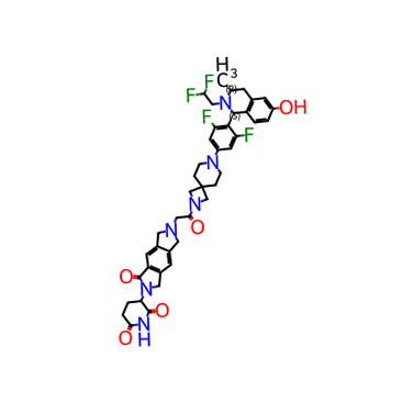 C[C@@H]1Cc2cc(O)ccc2[C@@H](c2c(F)cc(N3CCC4(CC3)CN(C(=O)CN3Cc5cc6c(cc5C3)C(=O)N(C3CCC(=O)NC3=O)C6)C4)cc2F)N1CC(F)F